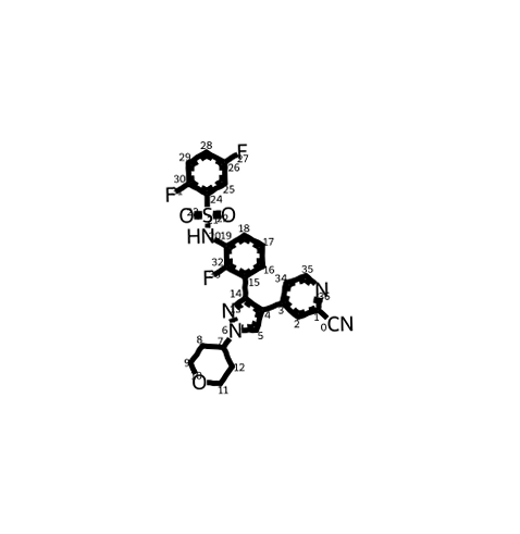 N#Cc1cc(-c2cn(C3CCOCC3)nc2-c2cccc(NS(=O)(=O)c3cc(F)ccc3F)c2F)ccn1